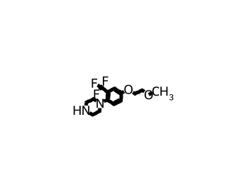 COCCOc1ccc(N2CCNCC2)c(C(F)(F)F)c1